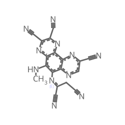 CNc1c(/N=C(/C#N)CC#N)c2ncc(C#N)nc2c2nc(C#N)c(C#N)nc12